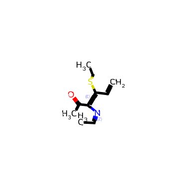 C=C/C(SCC)=C(\N=C/C)C(C)=O